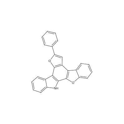 c1ccc(-c2cc3c(o2)c2c4ccccc4[nH]c2c2oc4ccccc4c32)cc1